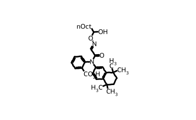 CCCCCCCCC(O)ON=CC(=O)N(c1ccc2c(c1)C(C)(C)CCC2(C)C)c1ccccc1C(=O)O